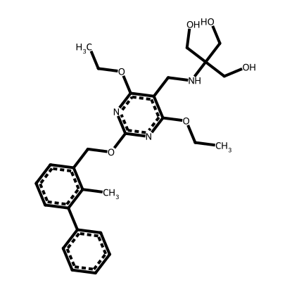 CCOc1nc(OCc2cccc(-c3ccccc3)c2C)nc(OCC)c1CNC(CO)(CO)CO